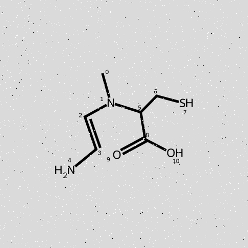 CN(C=CN)C(CS)C(=O)O